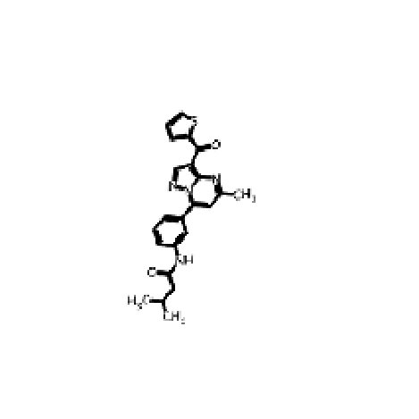 Cc1cc(-c2cccc(NC(=O)CC(C)C)c2)n2ncc(C(=O)c3cccs3)c2n1